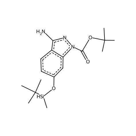 C[SiH](Oc1ccc2c(N)nn(C(=O)OC(C)(C)C)c2c1)C(C)(C)C